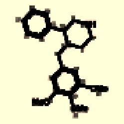 COc1cc(CN2CCNCC2c2ccccc2)cc(OC)c1OC